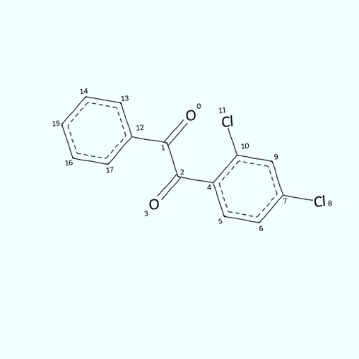 O=C(C(=O)c1ccc(Cl)cc1Cl)c1ccccc1